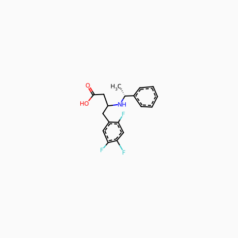 C[C@@H](NC(CC(=O)O)Cc1cc(F)c(F)cc1F)c1ccccc1